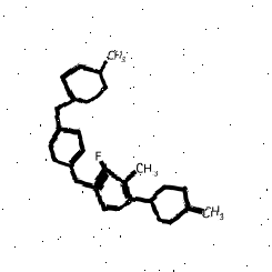 Cc1c(C2CCC(C)CC2)ccc(CC2=CCC(CC3CCC(C)CC3)CC2)c1F